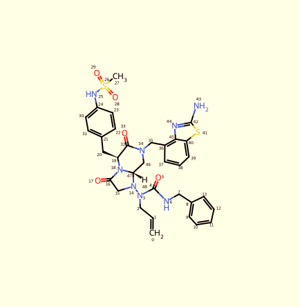 C=CCN(C(=O)NCc1ccccc1)N1CC(=O)N2[C@@H](Cc3ccc(NS(C)(=O)=O)cc3)C(=O)N(Cc3cccc4sc(N)nc34)C[C@@H]21